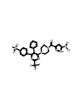 CS(=O)(=O)c1ccc(-c2nc(C(F)(F)F)nc(N3CCN(C(=O)c4cc([N+](=O)[O-])[nH]n4)CC3)c2-c2ccccc2)cc1